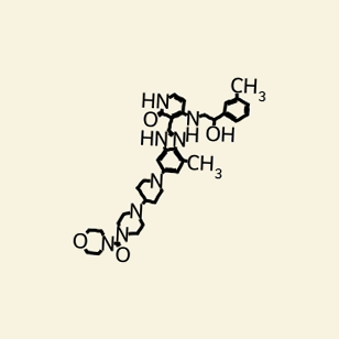 Cc1cccc(C(O)CNc2cc[nH]c(=O)c2-c2nc3c(C)cc(N4CCC(N5CCN(C(=O)N6CCOCC6)CC5)CC4)cc3[nH]2)c1